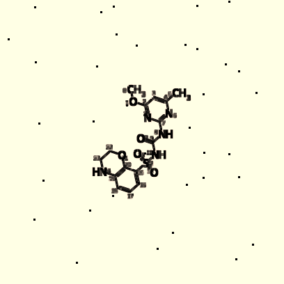 COc1cc(C)nc(NC(=O)NS(=O)(=O)c2cccc3c2OCCN3)n1